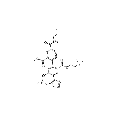 CCCNC(=O)c1ccc(-c2cc3c(cc2C(=O)OCC[Si](C)(C)C)-c2sccc2C[C@H](C)O3)c(C(=O)OC)n1